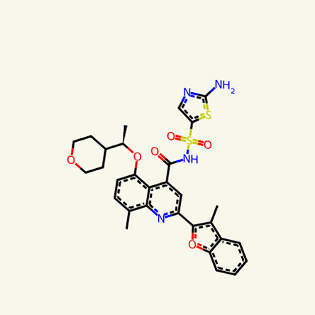 Cc1c(-c2cc(C(=O)NS(=O)(=O)c3cnc(N)s3)c3c(O[C@H](C)C4CCOCC4)ccc(C)c3n2)oc2ccccc12